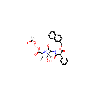 CC1C(O)[C@@H]2C(NC(=O)C(C(=O)OCc3ccc4ccccc4c3)c3ccccc3)C(=O)N2C1C(=O)OCOC(=O)C(C)(C)C